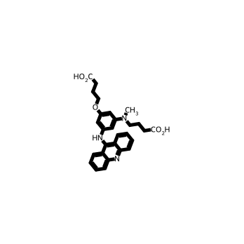 CN(CCCC(=O)O)c1cc(Nc2c3ccccc3nc3ccccc23)cc(OCCCC(=O)O)c1